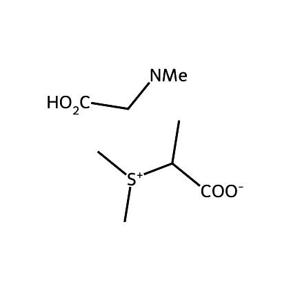 CC(C(=O)[O-])[S+](C)C.CNCC(=O)O